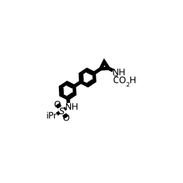 CC(C)S(=O)(=O)Nc1cccc(-c2ccc(C3CC3NC(=O)O)cc2)c1